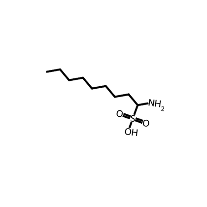 CCCCCCCCC(N)S(=O)(=O)O